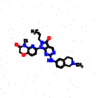 C=CCn1c(=O)c2cnc(Nc3ccc4c(c3)CCN(C)C4)nc2n1-c1ccc2c(n1)N(CC)C(=O)CO2